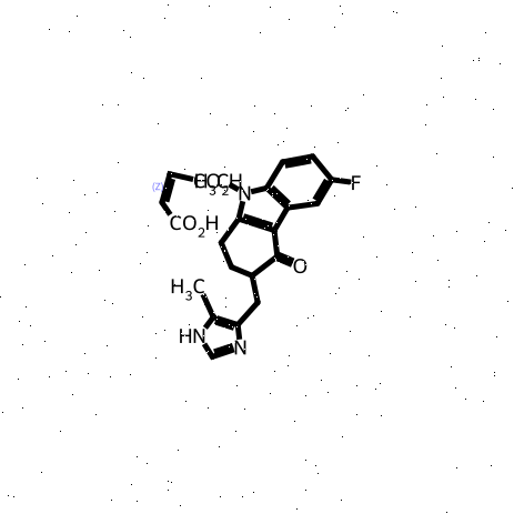 Cc1[nH]cnc1CC1CCc2c(c3cc(F)ccc3n2C)C1=O.O=C(O)/C=C\C(=O)O